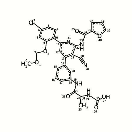 COCOc1cc(Cl)ccc1-c1cc(-c2cccc(NC(=O)[C@H](C)NC(=O)O)c2)c(C#N)c(NC(=O)c2ccco2)n1